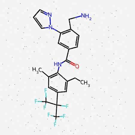 CCc1cc(C(F)(C(F)(F)F)C(F)(F)F)cc(C)c1NC(=O)c1ccc(CN)c(-n2cccn2)c1